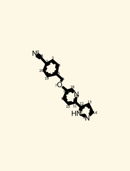 N#Cc1ccc(COc2ccc(-c3ccn[nH]3)nc2)cc1